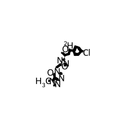 [2H][C@]1(c2ccc(Cl)cc2)C[C@H](c2noc(Cn3cnc4ncn(C)c4c3=O)n2)CO1